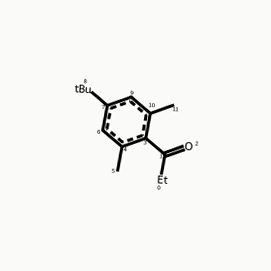 CCC(=O)c1c(C)cc(C(C)(C)C)cc1C